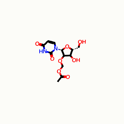 CC(=O)OCOC1C(O)[C@@H](CO)O[C@H]1n1ccc(=O)[nH]c1=O